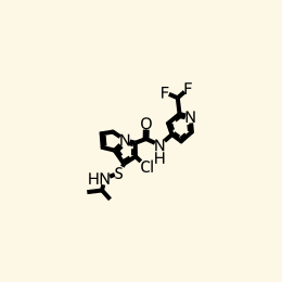 CC(C)NSc1c(Cl)c(C(=O)Nc2ccnc(C(F)F)c2)n2c1C=CC2